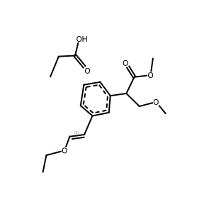 CCC(=O)O.CCO/C=C/c1cccc(C(COC)C(=O)OC)c1